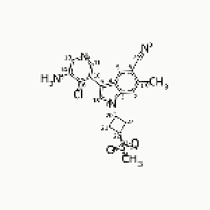 Cc1cc2c(cc1C#N)c(-c1cncc(N)c1Cl)cn2[C@H]1C[C@H](S(C)(=O)=O)C1